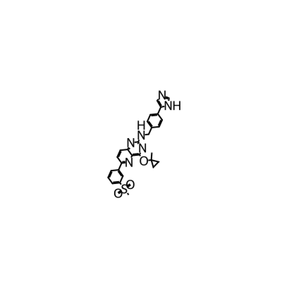 CC1(Oc2nc(NCc3ccc(-c4cnc[nH]4)cc3)nc3ccc(-c4cccc(S(C)(=O)=O)c4)nc23)CC1